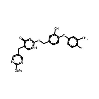 COc1ncc(Cc2c[nH]c(SCc3ccc(Oc4ccc(F)c(C)c4)c(C#N)c3)nc2=O)cn1